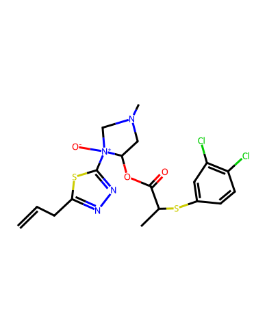 C=CCc1nnc([N+]2([O-])CN(C)CC2OC(=O)C(C)Sc2ccc(Cl)c(Cl)c2)s1